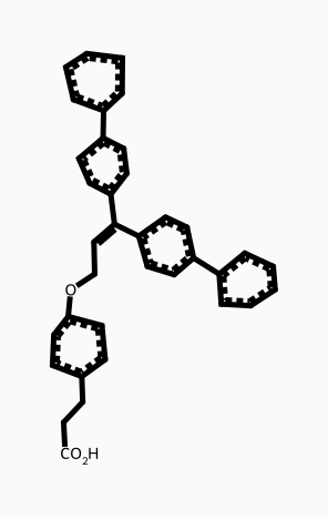 O=C(O)CCc1ccc(OCC=C(c2ccc(-c3ccccc3)cc2)c2ccc(-c3ccccc3)cc2)cc1